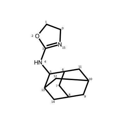 C1COC(NC2C3CC4CC(C3)CC2C4)=N1